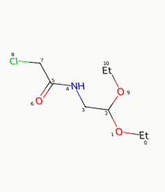 CCOC(CNC(=O)CCl)OCC